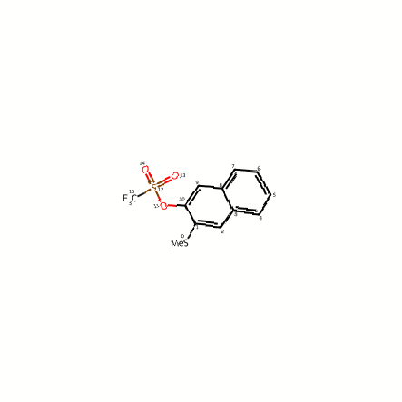 CSc1cc2ccccc2cc1OS(=O)(=O)C(F)(F)F